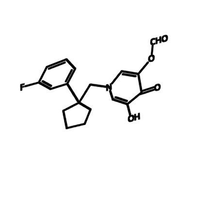 O=COc1cn(CC2(c3cccc(F)c3)CCCC2)cc(O)c1=O